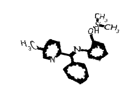 Cc1ccc(C(=Nc2ccccc2O[SiH](C)C)c2ccccc2)nc1